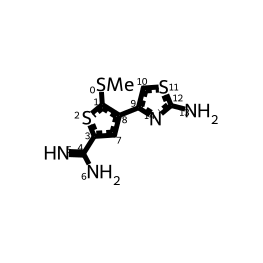 CSc1sc(C(=N)N)cc1-c1csc(N)n1